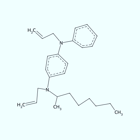 C=CCN(c1ccccc1)c1ccc(N(CC=C)C(C)CCCCCC)cc1